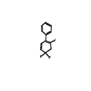 FC1(F)C=CC(c2ccccc2)=C(I)C1